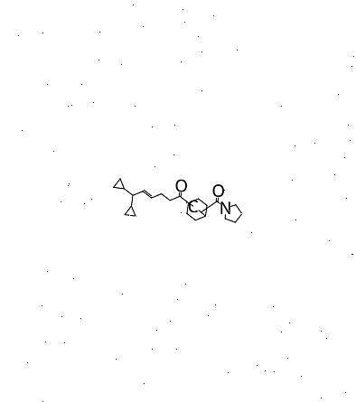 O=C(C1CC2(C(=O)CCC=CC(C3CC3)C3CC3)CCC1CC2)N1CCCC1